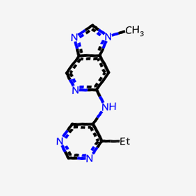 CCc1ncncc1Nc1cc2c(cn1)ncn2C